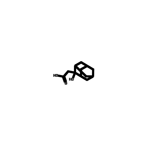 O=C(O)CC1(O)C2CC3CC(C2)CC1C3